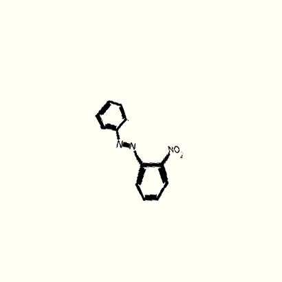 O=[N+]([O-])c1ccccc1/N=N/c1[c]cccc1